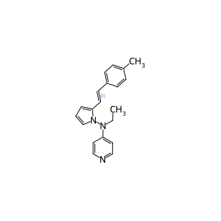 CCN(c1ccncc1)n1cccc1/C=C/c1ccc(C)cc1